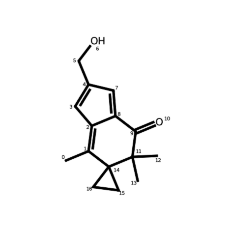 CC1=C2C=C(CO)C=C2C(=O)C(C)(C)C12CC2